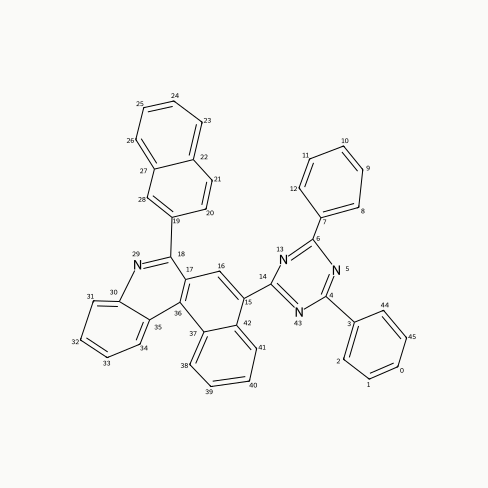 c1ccc(-c2nc(-c3ccccc3)nc(-c3cc4c(-c5ccc6ccccc6c5)nc5ccccc5c4c4ccccc34)n2)cc1